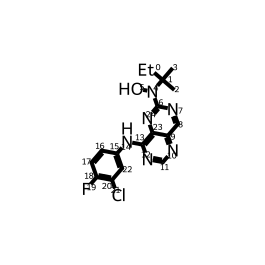 CCC(C)(C)N(O)c1ncc2ncnc(Nc3ccc(F)c(Cl)c3)c2n1